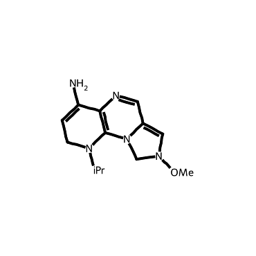 CON1C=C2C=NC3=C(N2C1)N(C(C)C)CC=C3N